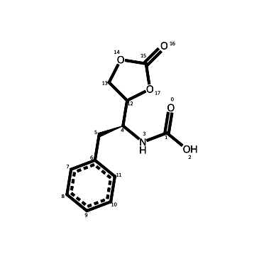 O=C(O)N[C@@H](Cc1ccccc1)C1COC(=O)O1